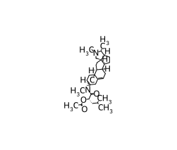 CC(=O)O[C@@H](CC(C)C)C(=O)N(C)[C@H]1CC[C@@]2(C)C(=CC[C@H]3[C@@H]4CC[C@@H]5[C@H](C)N(C)C[C@@]54CC[C@@H]32)C1